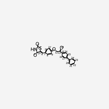 O=C1NC(=O)C(=Cc2ccc(OCC(=O)c3ccc(-c4ccccc4)cc3)cc2)S1